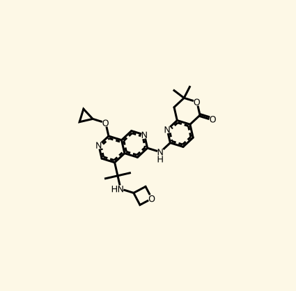 CC1(C)Cc2nc(Nc3cc4c(C(C)(C)NC5COC5)cnc(OC5CC5)c4cn3)ccc2C(=O)O1